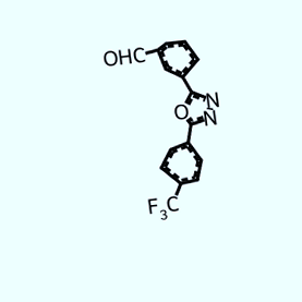 O=Cc1cccc(-c2nnc(-c3ccc(C(F)(F)F)cc3)o2)c1